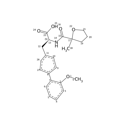 COc1ccccc1-c1ccc(C[C@H](NC(=O)C2(C)CCCO2)C(=O)O)cc1